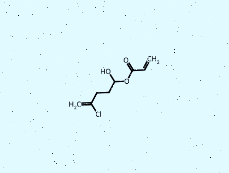 C=CC(=O)OC(O)CCC(=C)Cl